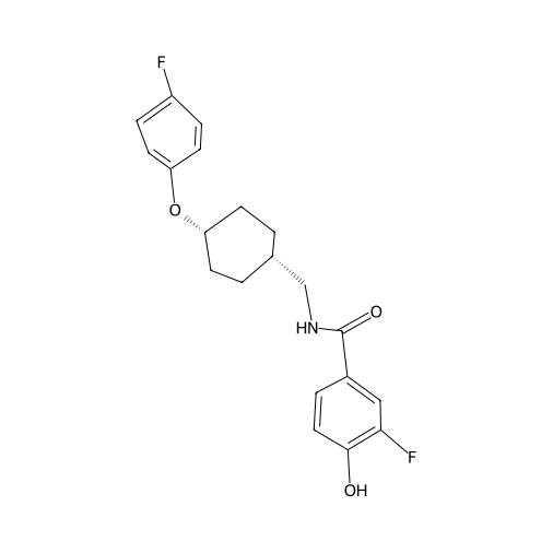 O=C(NC[C@H]1CC[C@@H](Oc2ccc(F)cc2)CC1)c1ccc(O)c(F)c1